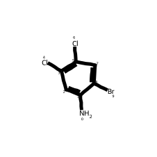 Nc1cc(Cl)c(Cl)cc1Br